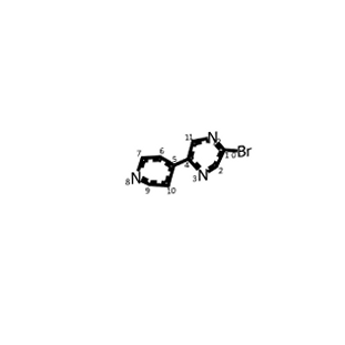 Brc1cnc(-c2ccncc2)cn1